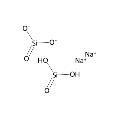 O=[Si](O)O.O=[Si]([O-])[O-].[Na+].[Na+]